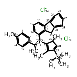 CC1=[C](/[Zr+2](=[C](\C)c2ccc(C)cc2)[c]2cccc3c2Cc2ccccc2-3)C(C)C=C1[Si](C)(C)C.[Cl-].[Cl-]